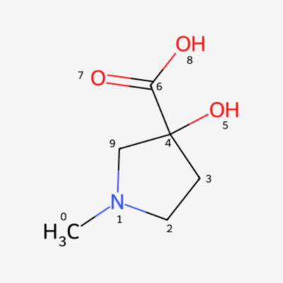 CN1CCC(O)(C(=O)O)C1